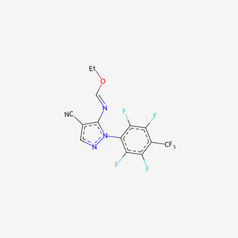 CCO/C=N/c1c(C#N)cnn1-c1c(F)c(F)c(C(F)(F)F)c(F)c1F